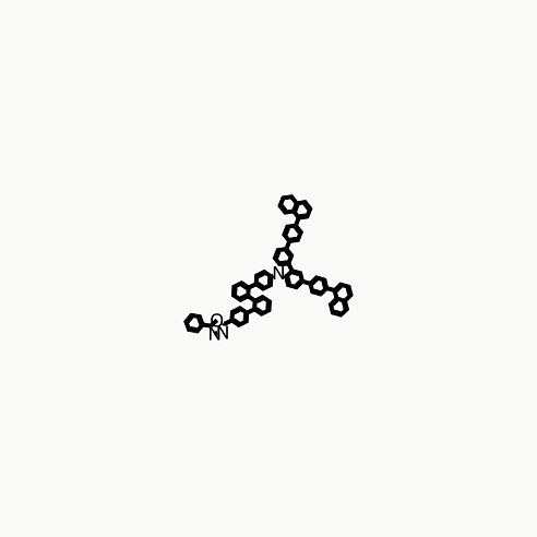 C1=Cc2c(cccc2-c2ccc(-c3ccc4c(c3)c3cc(-c5ccc(-c6cccc7ccccc67)cc5)ccc3n4-c3ccc(-c4ccccc4-c4ccccc4-c4ccc(-c5nnc(-c6ccccc6)o5)cc4)cc3)cc2)CC1